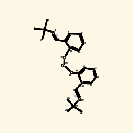 CC(C)(C)/N=C/c1ccccc1[O][Cu][O]c1ccccc1/C=N/C(C)(C)C